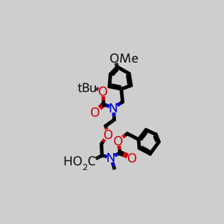 COc1ccc(CN(CCOCC(C(=O)O)N(C)C(=O)OCc2ccccc2)C(=O)OC(C)(C)C)cc1